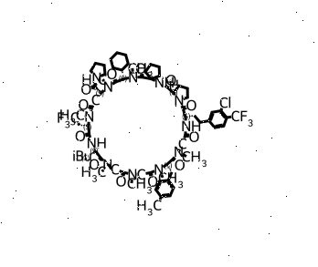 CC[C@H](C)[C@@H]1NC(=O)[C@H](CC(F)(F)F)N(C)C(=O)C[C@@H](C(=O)N2CCCC2)N(C)C(=O)[C@H](C2CCCCC2)N(C)C(=O)C2(CCCC2)NC(=O)[C@@H]2CCCN2C(=O)[C@H](CCc2ccc(C(F)(F)F)c(Cl)c2)NC(=O)CN(C)C(=O)[C@H](Cc2ccc(C)cc2)N(C)C(=O)CN(C)C(=O)CN(C)C1=O